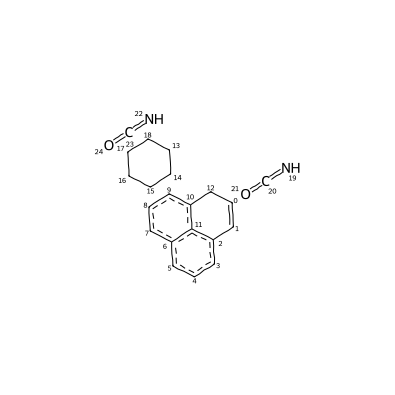 C1=Cc2cccc3cccc(c23)C1.C1CCCCC1.N=C=O.N=C=O